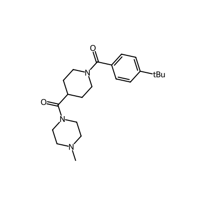 CN1CCN(C(=O)C2CCN(C(=O)c3ccc(C(C)(C)C)cc3)CC2)CC1